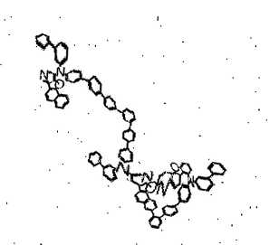 c1ccc(-c2cccc(N(c3ccc(-c4ccc(-c5cccc(-c6ccc(-c7ccc(-c8ccc(N(c9cccc(-c%10ccccc%10)c9)c9cncc%10c9oc9c%11ccccc%11ccc%109)cc8)cc7)cc6)c5)cc4)cc3)c3cnc4oc5c6ccc(-c7ccccc7-c7ccc(-c8ccc(N(c9cccc(-c%10ccccc%10)c9)c9cccc%10oc%11c%12cccnc%12ccc%11c9%10)cc8)cc7)cc6ccc5c4c3)c2)cc1